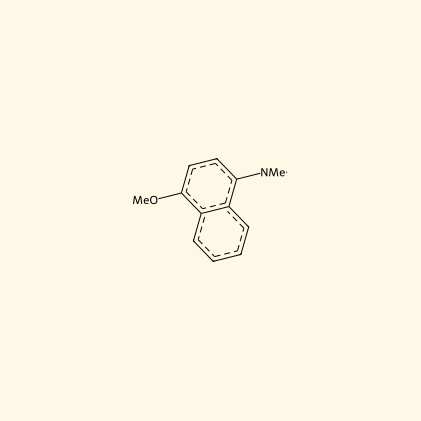 C[N]c1ccc(OC)c2ccccc12